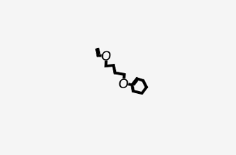 C=COCCCCOC1=CCCCC1